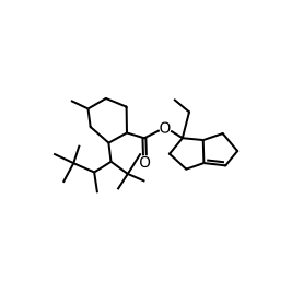 CCC1(OC(=O)C2CCC(C)CC2C(C(C)C(C)(C)C)C(C)(C)C)CCC2=CCCC21